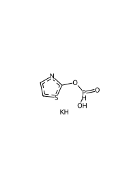 O=[PH](O)Oc1nccs1.[KH]